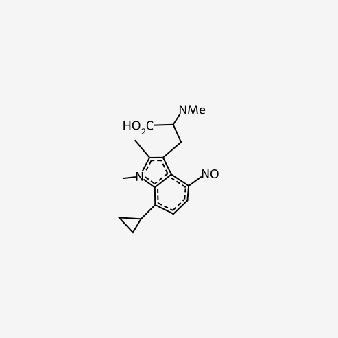 CNC(Cc1c(C)n(C)c2c(C3CC3)ccc(N=O)c12)C(=O)O